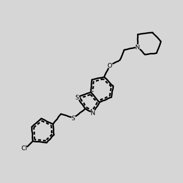 Clc1ccc(CSc2nc3ccc(OCCN4CCCCC4)cc3s2)cc1